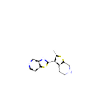 Cc1sc2c(c1-c1nc3cnccc3s1)CCNC2